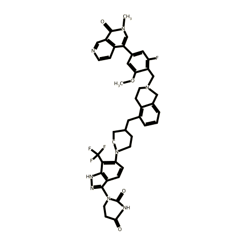 COc1cc(-c2cn(C)c(=O)c3cnccc23)cc(F)c1CN1CCc2c(CC3CCN(c4ccc5c(N6CCC(=O)NC6=O)n[nH]c5c4C(F)(F)F)CC3)cccc2C1